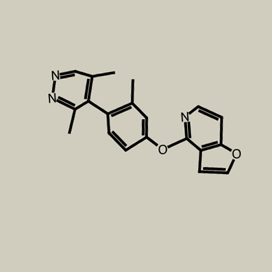 Cc1cc(Oc2nccc3occc23)ccc1-c1c(C)cnnc1C